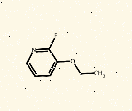 CCOc1cccnc1F